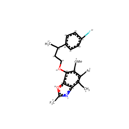 COc1c(C(C)=O)c(C)c2nc(C(F)(F)F)oc2c1OCCC(C)c1ccc(F)cc1